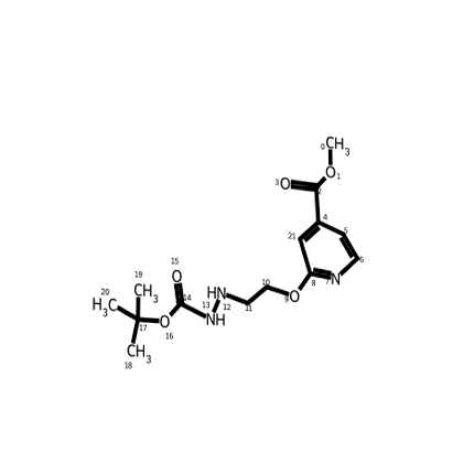 COC(=O)c1ccnc(OCCNNC(=O)OC(C)(C)C)c1